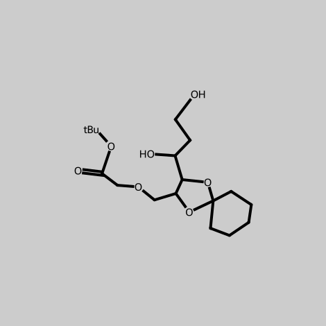 CC(C)(C)OC(=O)COCC1OC2(CCCCC2)OC1C(O)CCO